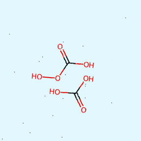 O=C(O)O.O=C(O)OO